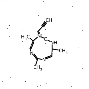 C#C/C=[N+]1\ONC(C)C=NC(C)=NC=C1C